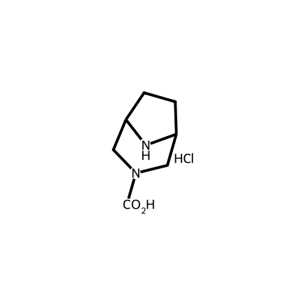 Cl.O=C(O)N1CC2CCC(C1)N2